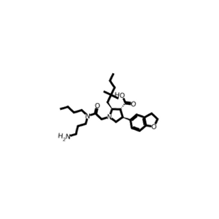 CCCCN(CCCN)C(=O)CN1C[C@H](c2ccc3c(c2)CCO3)[C@@H](C(=O)O)[C@@H]1CC(C)(C)CCC